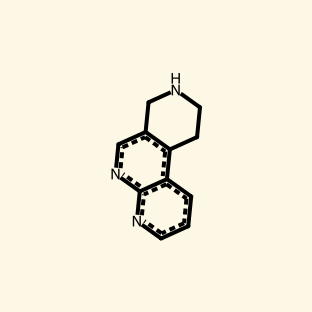 c1cnc2ncc3c(c2c1)CCNC3